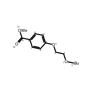 CCC(C)OCCOc1ccc(C(=O)OC)cc1